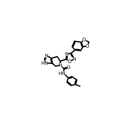 Cc1ccc(NC(=O)N2Cc3[nH]cnc3CC2c2nc(-c3ccc4c(c3)OCO4)no2)cc1